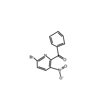 O=C(c1ccccc1)c1nc(Br)ccc1[N+](=O)[O-]